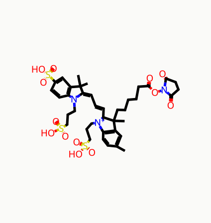 Cc1ccc2c(c1)C(C)(CCCCCC(=O)ON1C(=O)CCC1=O)C(/C=C/C=C1\N(CCCS(=O)(=O)O)c3ccc(S(=O)(=O)O)cc3C1(C)C)=[N+]2CCCS(=O)(=O)O